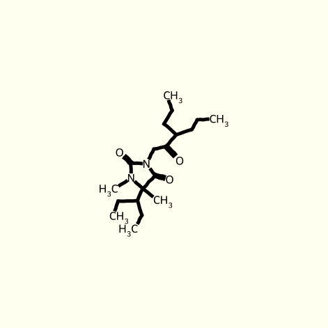 CCCC(CCC)C(=O)CN1C(=O)N(C)C(C)(C(CC)CC)C1=O